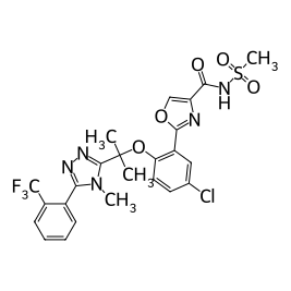 Cn1c(-c2ccccc2C(F)(F)F)nnc1C(C)(C)Oc1ccc(Cl)cc1-c1nc(C(=O)NS(C)(=O)=O)co1